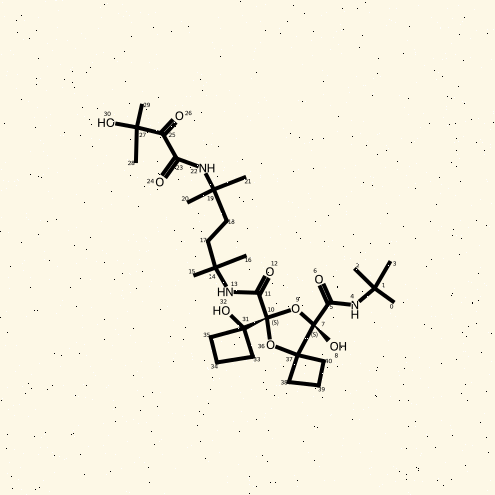 CC(C)(C)NC(=O)[C@@]1(O)O[C@](C(=O)NC(C)(C)CCC(C)(C)NC(=O)C(=O)C(C)(C)O)(C2(O)CCC2)OC12CCC2